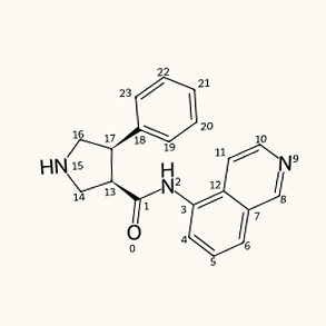 O=C(Nc1cccc2cnccc12)[C@H]1CNC[C@H]1c1ccccc1